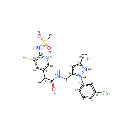 CC(C(=O)NCc1cc(C(F)(F)F)nn1-c1cccc(Cl)c1)c1cnc(NS(C)(=O)=O)c(F)c1